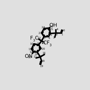 C=CC(C)(C)c1cc(C(c2ccc(N=O)c(C(C)(C)C=C)c2)(C(F)(F)F)C(F)(F)F)ccc1O